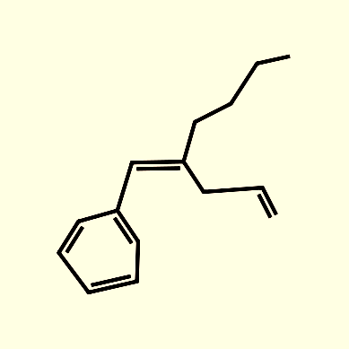 C=CCC(=Cc1ccccc1)CCCC